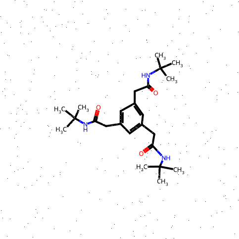 CC(C)(C)NC(=O)Cc1cc(CC(=O)NC(C)(C)C)cc(CC(=O)NC(C)(C)C)c1